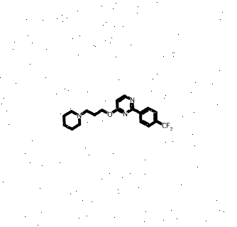 FC(F)(F)c1ccc(-c2nccc(OCCCN3CCCCC3)n2)cc1